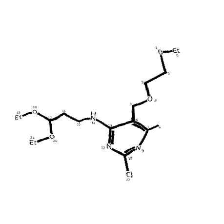 CCOCCOCc1c(C)nc(Cl)nc1NCCC(OCC)OCC